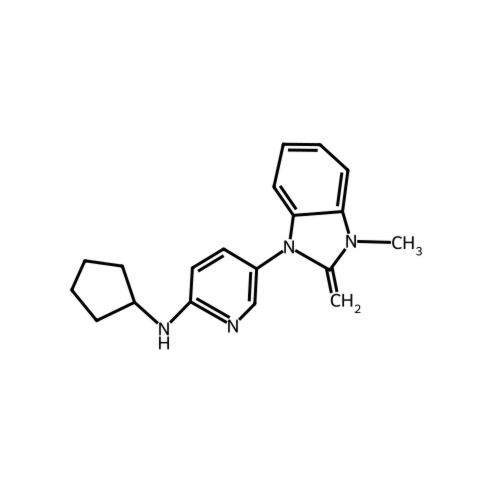 C=C1N(C)c2ccccc2N1c1ccc(NC2CCCC2)nc1